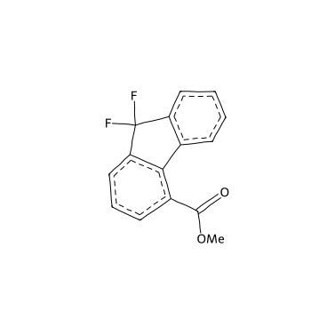 COC(=O)c1cccc2c1-c1ccccc1C2(F)F